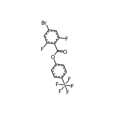 O=C(Oc1ccc(S(F)(F)(F)(F)F)cc1)c1c(F)cc(Br)cc1F